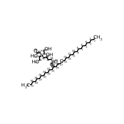 CCCCCCCCCCCCCCCCOCC(CCCCCCCCCCCCCC)O[PH](=O)CCC(O)C[N+](CCO)(CCO)CC(=O)O